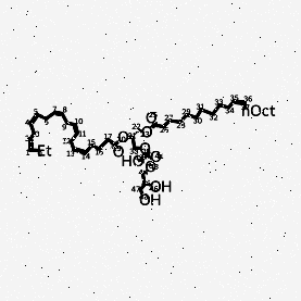 CC/C=C\C/C=C\C/C=C\C/C=C\C/C=C\CCCC(=O)O[C@H](COC(=O)CCCCCCCCC/C=C\CCCCCCCC)COP(=O)(O)OC[C@@H](O)CO